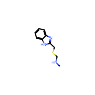 CNCSCc1nc2ccccc2[nH]1